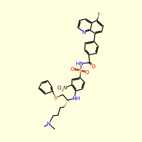 CN(C)CCCC[C@H](CSc1ccccc1)Nc1ccc(S(=O)(=O)NC(=O)c2ccc(-c3ccc(F)c4cccnc34)cc2)cc1[N+](=O)[O-]